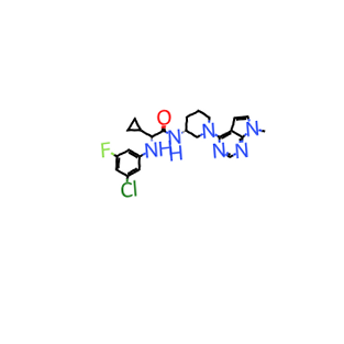 Cn1ccc2c(N3CCC[C@@H](NC(=O)[C@H](Nc4cc(F)cc(Cl)c4)C4CC4)C3)ncnc21